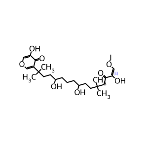 CC(C)(CCC(O)CCCC(O)CCC(C)(C)c1cocc(O)c1=O)CC(=O)/C(O)=C\OI